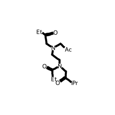 CCC(=O)CN(CCN(CC(=O)C(C)C)C(=O)CC)CC(C)=O